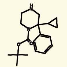 CC(C)(C)OC(=O)N1CCNCC1(c1ccccc1)C1CC1